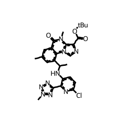 Cc1cc(C(C)Nc2ccc(Cl)nc2-c2nnn(C)n2)c2c(c1)c(=O)n(C)c1c(C(=O)OC(C)(C)C)ncn21